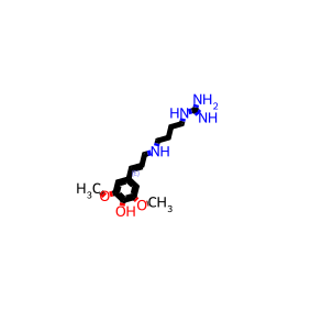 COc1cc(/C=C/CNCCCCNC(=N)N)cc(OC)c1O